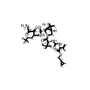 C=C(C)[C@H](NC(=O)N[C@H](C(=O)N1C[C@H]2[C@@H]([C@H]1C(=O)NC(CCC(F)(F)F)C(=O)C(N)=O)C2(C)C)C(C)(C)C)C(=O)OCC1CC1